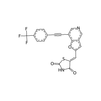 O=C1NC(=O)C(=Cc2cc3cncc(C#Cc4ccc(C(F)(F)F)cc4)c3o2)S1